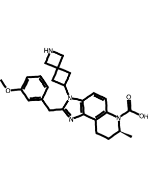 COc1cccc(Cc2nc3c4c(ccc3n2C2CC3(CNC3)C2)N(C(=O)O)[C@@H](C)CC4)c1